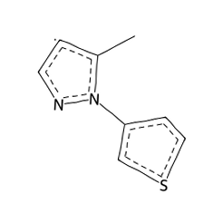 Cc1[c]cnn1-c1ccsc1